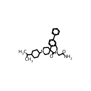 CC(C)C1CCC(N2CCC3(CC2)C(=O)N(CC(N)=O)Cc2cc(-c4ccccc4)ccc23)CC1